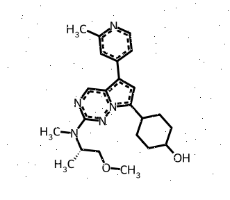 COC[C@H](C)N(C)c1ncc2c(-c3ccnc(C)c3)cc(C3CCC(O)CC3)n2n1